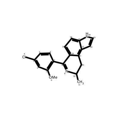 COc1cc(Cl)ccc1C1=NC(C)Cc2c1ccc1[nH]ccc21